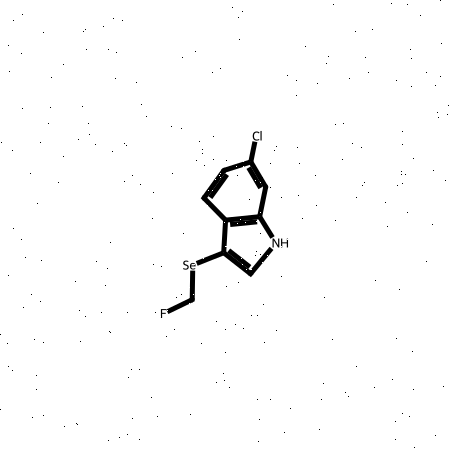 FC[Se]c1c[nH]c2cc(Cl)ccc12